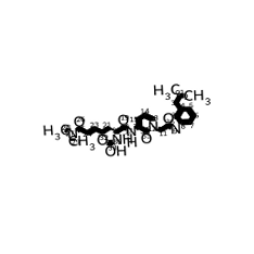 CC(C)Cc1cccc2nc(Cn3cccc(NC(=O)[C@H](CC/C=C/C(=O)N(C)C)NC(=O)O)c3=O)oc12